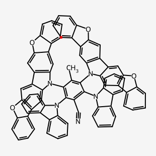 Cc1c(-n2c3cc4c(cc3c3cc5oc6ccccc6c5cc32)oc2ccccc24)c(-n2c3ccccc3c3ccccc32)c(C#N)c(-n2c3ccccc3c3ccccc32)c1-n1c2cc3c(cc2c2cc4oc5ccccc5c4cc21)oc1ccccc13